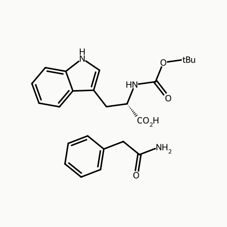 CC(C)(C)OC(=O)N[C@@H](Cc1c[nH]c2ccccc12)C(=O)O.NC(=O)Cc1ccccc1